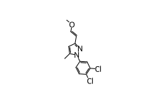 CO/C=C/c1cc(C)n(-c2ccc(Cl)c(Cl)c2)n1